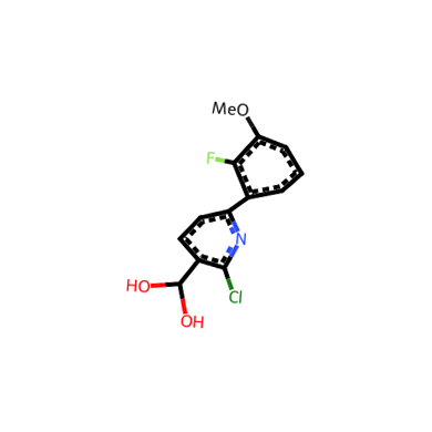 COc1cccc(-c2ccc(C(O)O)c(Cl)n2)c1F